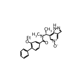 CCOc1cc(C(=O)N(C)[C@@H](C)c2c[n+]([O-])cc3cn[nH]c23)ccc1-c1ccccc1